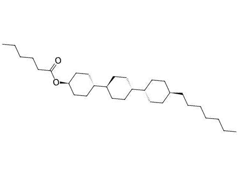 CCCCCCC[C@H]1CC[C@H]([C@H]2CC[C@H]([C@H]3CC[C@H](OC(=O)CCCCC)CC3)CC2)CC1